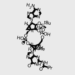 CO[C@H]1[C@H]2OP(=O)(O)OC[C@@]34C[C@@H]3[C@@H](n3cnc5c(N)ncnc53)C(O[Si](C)(C)C(C)(C)C)[C@@H]4OP(=O)(O)OC[C@H]1O[C@H]2n1cnc2c(=O)[nH]c(NC(=O)C(C)C)nc21